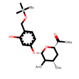 COC(=O)[C@@H]1C[C@H](OC(C)=O)C(OC(C)=O)[C@H](Oc2ccc(CO[Si](C)(C)C(C)(C)C)c(O)c2)O1